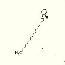 CCCCCCCCCCCCCCCCCCC1Nc2ccccc2O1